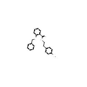 NS(=O)(=O)c1ccc(CCNC(=O)c2ccccc2OCc2ccccc2)cc1